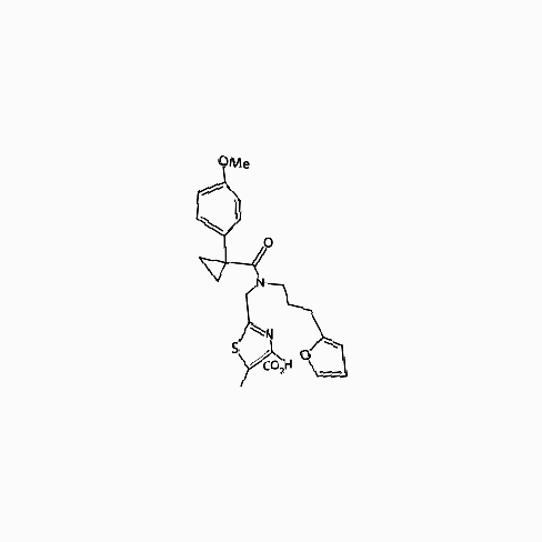 COc1ccc(C2(C(=O)N(CCCc3ccco3)Cc3nc(C(=O)O)c(C)s3)CC2)cc1